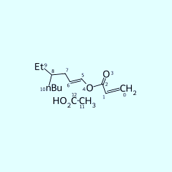 C=CC(=O)OC=CCC(CC)CCCC.CC(=O)O